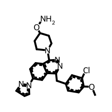 COc1ccc(Cc2nnc(N3CCC(ON)CC3)c3ccc(-n4cccn4)cc23)cc1Cl